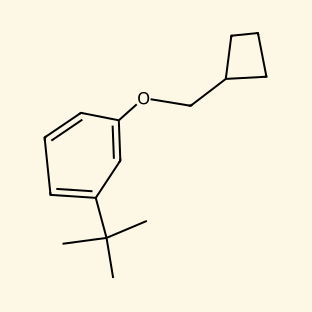 CC(C)(C)c1cccc(OCC2CCC2)c1